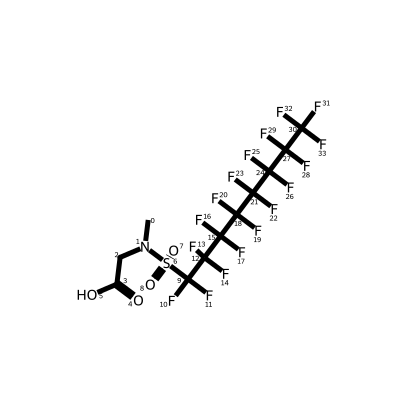 CN(CC(=O)O)S(=O)(=O)C(F)(F)C(F)(F)C(F)(F)C(F)(F)C(F)(F)C(F)(F)C(F)(F)C(F)(F)F